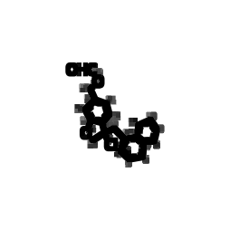 CC1(Cc2cccc3ccccc23)COc2cc(COC=O)ccc21